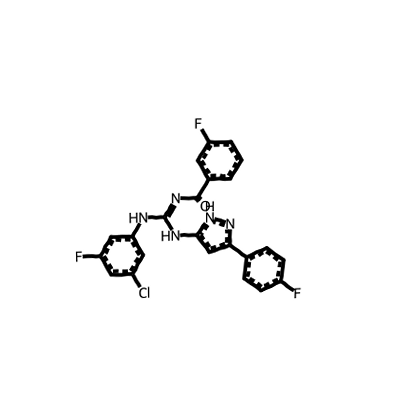 O=C(/N=C(/Nc1cc(F)cc(Cl)c1)Nc1cc(-c2ccc(F)cc2)n[nH]1)c1cccc(F)c1